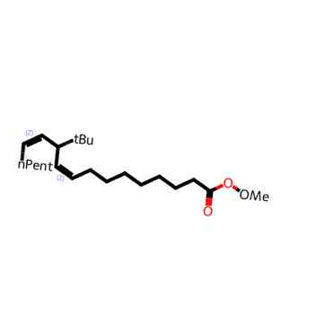 CCCCC/C=C\C(/C=C\CCCCCCCC(=O)OOC)C(C)(C)C